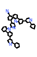 N#Cc1ccc(-c2cc(-n3c4ccccc4c4cc(-c5ccnc(-c6ccccc6)c5)ccc43)ncc2-n2c3ccccc3c3cc(-c4ccnc(-c5ccccc5)c4)ccc32)cc1